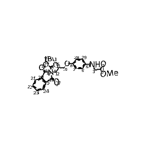 COC(=O)CNc1ccc(OCCC[N+]2(C(=O)OC(C)(C)C)C(=O)c3ccccc3C2=O)cc1